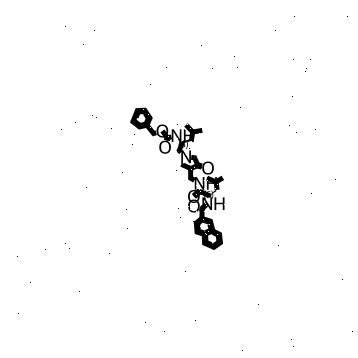 CC(C)C[C@@H](CN1CC(=O)C(CNC(=O)[C@H](CC(C)C)NC(=O)c2ccc3ccccc3c2)C1)NC(=O)OCc1ccccc1